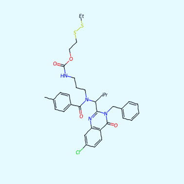 CCSSCCOC(=O)NCCCN(C(=O)c1ccc(C)cc1)C(c1nc2cc(Cl)ccc2c(=O)n1Cc1ccccc1)C(C)C